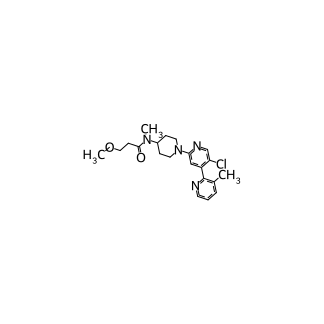 COCCC(=O)N(C)C1CCN(c2cc(-c3ncccc3C)c(Cl)cn2)CC1